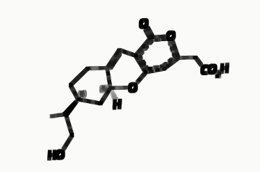 CC(CO)[C@H]1CCC2=Cc3c(cc(CC(=O)O)oc3=O)O[C@H]2C1